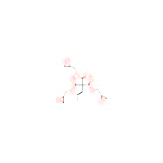 CC=CC(C(=O)OCC1CO1)(C(=O)OCC1CO1)C(=O)OCC1CO1